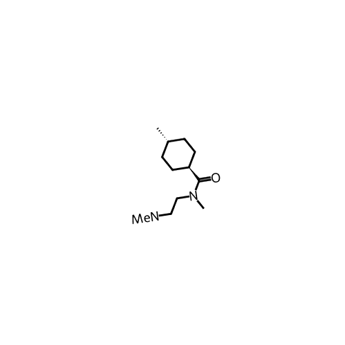 CNCCN(C)C(=O)[C@H]1CC[C@H](C)CC1